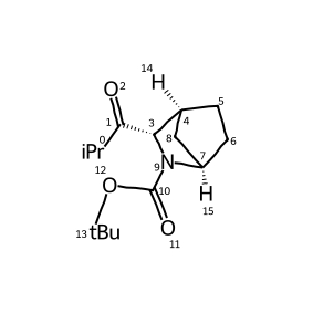 CC(C)C(=O)[C@@H]1[C@H]2CC[C@H](C2)N1C(=O)OC(C)(C)C